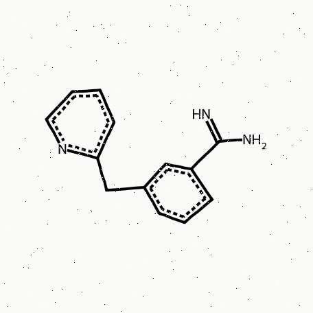 N=C(N)c1cc[c]c(Cc2ccccn2)c1